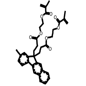 C=C(C)C(=O)OCCOC(=O)CCC1(CCC(=O)OCCOC(=O)C(=C)C)c2cc(C)ccc2-c2cc3ccccc3cc21